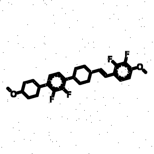 COc1ccc(/C=C/C2CCC(c3ccc(C4CCC(OC)CC4)c(F)c3F)CC2)c(F)c1F